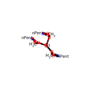 C=C(C(=O)Oc1ccc(-c2ccc(CCCCC)nc2)cc1)c1ccc(OCCCCCCCCCCOC(CC)(OCCCCCCCCCCOc2ccc(C(=C)C(=O)Oc3ccc(-c4ccc(CCCCC)nc4)cc3)cc2)OCCCCCCCCCCOc2ccc(C(=C)C(=O)Oc3ccc(-c4ccc(CCCCC)nc4)cc3)cc2)cc1